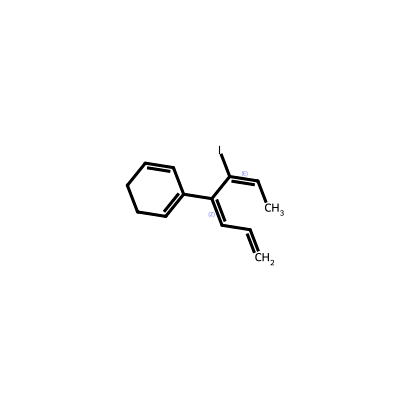 C=C/C=C(C1=CCCC=C1)\C(I)=C/C